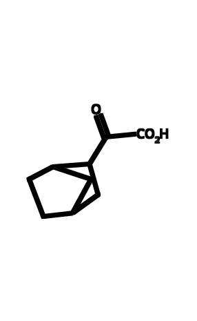 O=C(O)C(=O)C1CC2CCC1C2